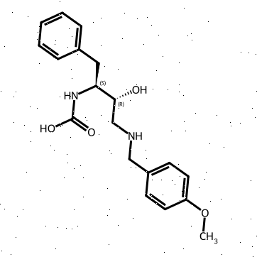 COc1ccc(CNC[C@@H](O)[C@H](Cc2ccccc2)NC(=O)O)cc1